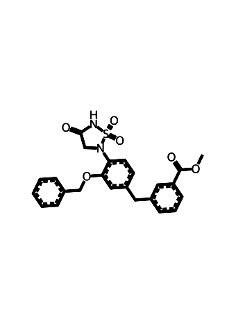 COC(=O)c1cccc(Cc2ccc(N3CC(=O)NS3(=O)=O)c(OCc3ccccc3)c2)c1